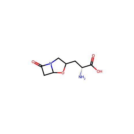 N[C@H](CC1CN2C(=O)CC2O1)C(=O)O